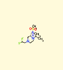 CC(C)N1CCN(CC(F)F)CC1CNS(C)(=O)=O